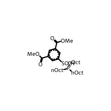 CCCCCCCCP(CCCCCCCC)CCCCCCCC.COC(=O)c1cc(C(=O)OC)cc(S(=O)(=O)O)c1